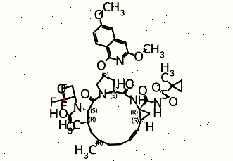 COc1ccc2c(O[C@@H]3C[C@H]4C(=O)N[C@]5(C(=O)NS(=O)(=O)C6(C)CC6)C[C@H]5C=CCC[C@@H](C)C[C@@H](C)[C@H](N(C(=O)O)C5(C(F)(F)F)COC5)C(=O)N4C3)nc(OC)cc2c1